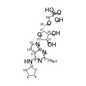 C#Cc1nc(NC2CCCC2)c2ccn([C@@H]3O[C@H](COCP(=O)(O)O)[C@@H](O)[C@H]3O)c2n1